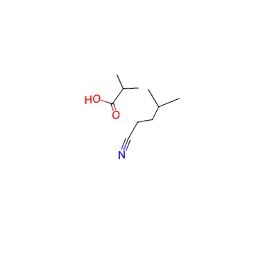 CC(C)C(=O)O.CC(C)CCC#N